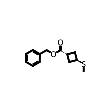 CS[C@H]1C[C@H](C(=O)OCc2ccccc2)C1